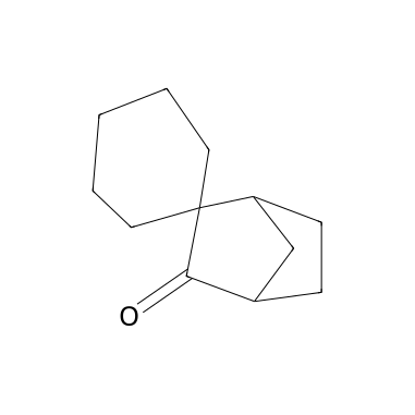 O=C1C2CCC(C2)C12CCCCC2